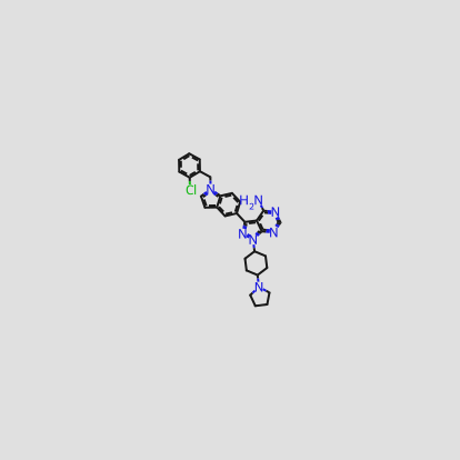 Nc1ncnc2c1c(-c1ccc3c(ccn3Cc3ccccc3Cl)c1)nn2C1CCC(N2CCCC2)CC1